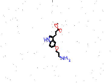 COC(=O)CCc1c[nH]c2ccc(OCCCN)cc12